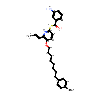 COc1ccc(CCCCCCCCOc2ccc(SC(O)c3cccc(N)c3)nc2C=CC(=O)O)cc1